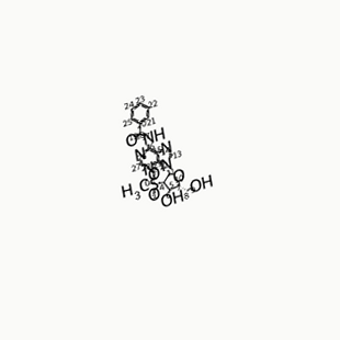 CS(=O)(=O)[C@@H]1[C@H](O)[C@@H](CO)O[C@H]1n1cnc2c(NC(=O)c3ccccc3)ncnc21